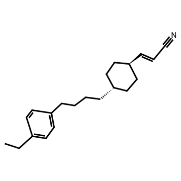 CCc1ccc(CCCC[C@H]2CC[C@H](C=CC#N)CC2)cc1